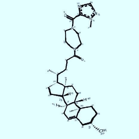 C[C@H](CCC(=O)N1CCN(C(=O)c2ncnn2C)CC1)[C@H]1CC[C@H]2[C@@H]3CC=C4C[C@@H](O)CC[C@]4(C)[C@H]3CC[C@]12C